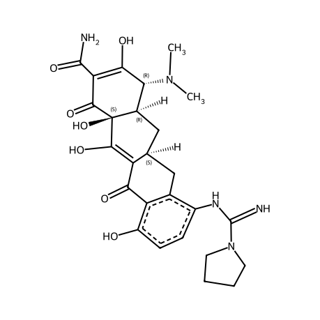 CN(C)[C@H]1C(O)=C(C(N)=O)C(=O)[C@@]2(O)C(O)=C3C(=O)c4c(O)ccc(NC(=N)N5CCCC5)c4C[C@@H]3C[C@H]12